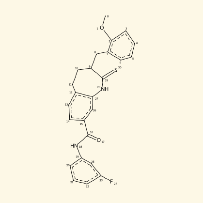 COc1ccccc1CC1CCc2ccc(C(=O)Nc3cccc(F)c3)cc2NC1=S